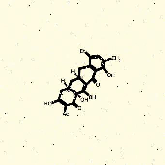 CCc1cc(C)c(O)c2c1C[C@H]1C[C@H]3CC(O)=C(C(C)=O)C(=O)[C@@]3(O)C(O)=C1C2=O